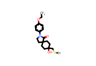 CCSCC1(O)CCC2(CCN(c3ccc(OCC(F)(F)F)cc3)C2=O)CC1